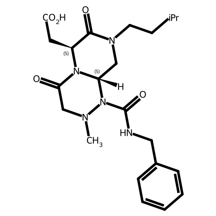 CC(C)CCN1C[C@H]2N(C(=O)CN(C)N2C(=O)NCc2ccccc2)[C@@H](CC(=O)O)C1=O